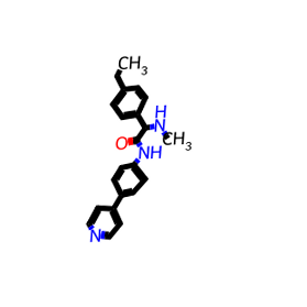 CCc1ccc(C(NC)C(=O)Nc2ccc(-c3ccncc3)cc2)cc1